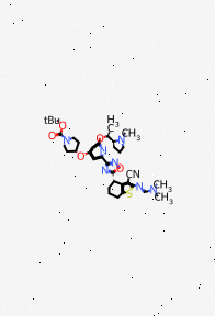 C[C@H](Oc1cc(OC2CCN(C(=O)OC(C)(C)C)CC2)cc(-c2noc([C@H]3CCCc4sc(/N=C/N(C)C)c(C#N)c43)n2)n1)[C@@H]1CCCN1C